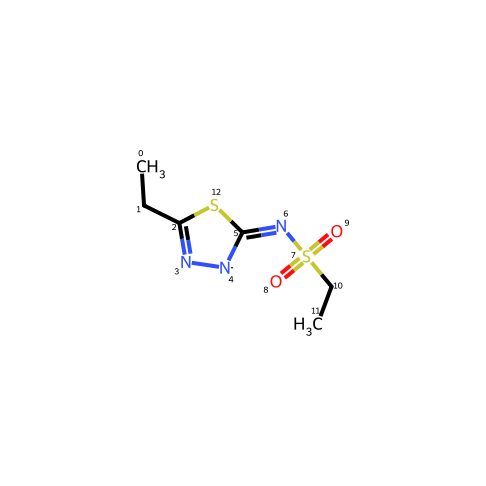 CCC1=N[N]C(=NS(=O)(=O)CC)S1